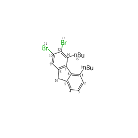 CCCCc1cccc2c1-c1c([c]c(Br)c(Br)c1CCCC)C2